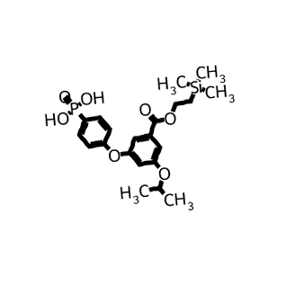 CC(C)Oc1cc(Oc2ccc(P(=O)(O)O)cc2)cc(C(=O)OCC[Si](C)(C)C)c1